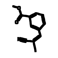 COC(=O)c1cccc(C=C(C)C#N)c1